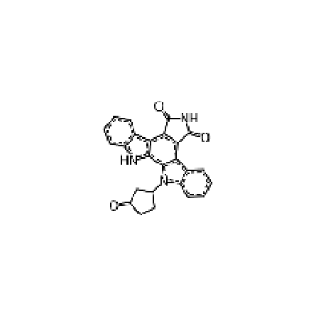 O=C1CCC(n2c3ccccc3c3c4c(c5c6ccccc6[nH]c5c32)C(=O)NC4=O)C1